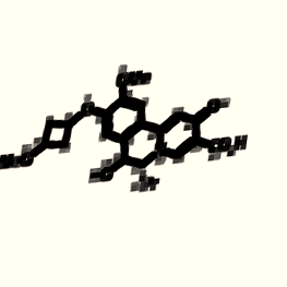 COc1cc2c(cc1OC1CC(OC)C1)C(O)[C@@H](C(C)C)n1cc(C(=O)O)c(=O)cc1-2